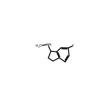 CNC1CCc2ccc(F)cc21